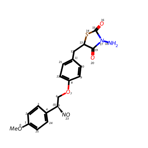 COc1ccc([C@@H](COc2ccc(CC3SC(=O)N(N)C3=O)cc2)N=O)cc1